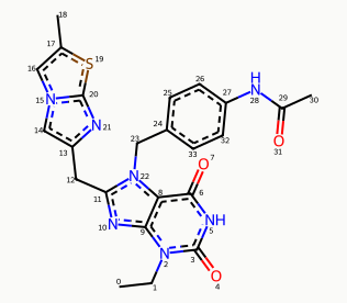 CCn1c(=O)[nH]c(=O)c2c1nc(Cc1cn3cc(C)sc3n1)n2Cc1ccc(NC(C)=O)cc1